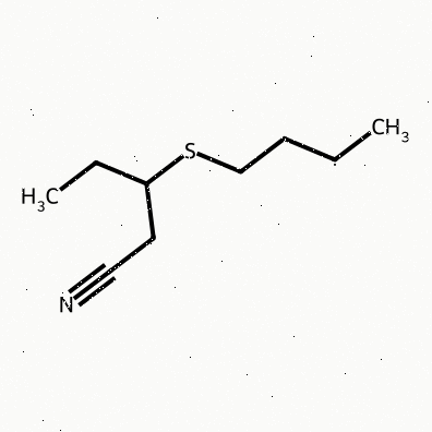 C[CH]CCSC(CC)CC#N